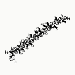 C=C[Si](C)(O)O[Si](C)(C=C)O[Si](C)(C=C)O[Si](C)(C=C)O[Si](C)(C=C)O[Si](C)(C=C)O[Si](C)(C=C)O[Si](C)(C=C)O[Si](C)(C=C)O[Si](C)(C=C)O[Si](C)(C=C)O[Si](C)(C=C)O[Si](C)(O)CCC(F)(F)F